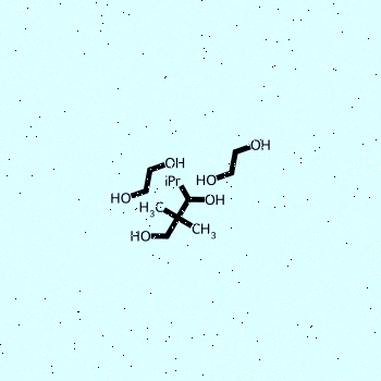 CC(C)C(O)C(C)(C)CO.OCCO.OCCO